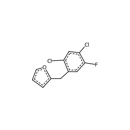 Fc1cc(Cc2ccco2)c(Cl)cc1Cl